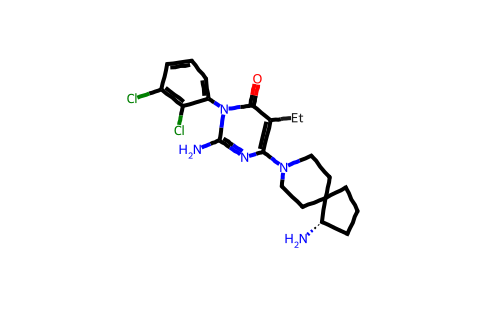 CCc1c(N2CCC3(CCC[C@@H]3N)CC2)nc(N)n(-c2cccc(Cl)c2Cl)c1=O